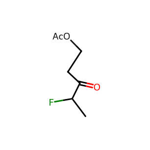 CC(=O)OCCC(=O)C(C)F